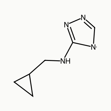 C1=NN=C(NCC2CC2)[N]1